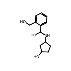 OCc1ccccc1C(O)NC1CCC(O)C1